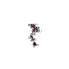 CC(=O)NC1C(OCCCNCc2cccc(C(=O)NCCNC(=O)CCCC[C@@H]3SC[C@@H]4NC(=O)N[C@@H]43)c2)OC(CO)C(OC(OC(CO)[C@@H](C)O)[C@@H](O)COC(OC(CO)[C@@H](C)O)[C@@H](O)CO)C1O